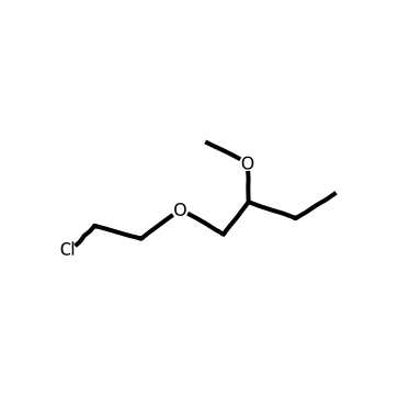 CCC(COCCCl)OC